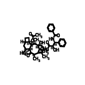 CC(=O)O[C@@]12CC[C@@H]1C[C@H](O)[C@@]1(C)C(=O)[C@H](C)C3=C(C)[C@@H](OC(=O)[C@H](O)[C@@H](NC(=O)c4ccccc4)c4ccccc4)C[C@@](O)([C@@H](C)[C@H]21)C3(C)C